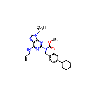 C=CCNc1nc(N(Cc2ccc(C3CCCCC3)cc2)C(=O)OC(C)(C)C)nc2c1ncn2CC(=O)O